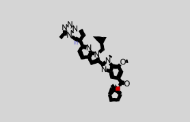 C=C/C(=C\n1nnnc1C)c1ccc2cc(-c3nc4cc(C(=O)N5CC6CCC5[C@@H]6C)cc(OC)c4n3C)n(CC3CC3)c2n1